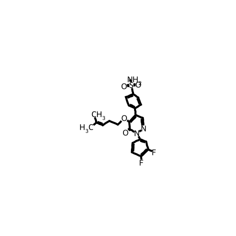 CC(C)=CCCOc1c(-c2ccc(S(N)(=O)=O)cc2)cnn(-c2ccc(F)c(F)c2)c1=O